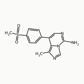 Cc1ncn2c(N)ncc(-c3ccc(S(C)(=O)=O)cc3)c12